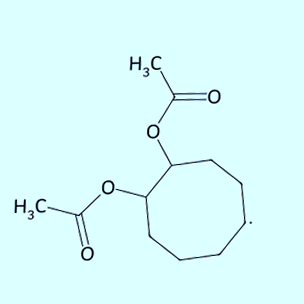 CC(=O)OC1CC[CH]CCCC1OC(C)=O